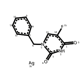 O=c1[nH]c(=O)n(Cc2ccccc2)cc1F.[Ag]